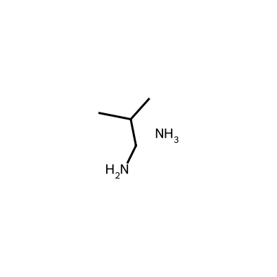 CC(C)CN.N